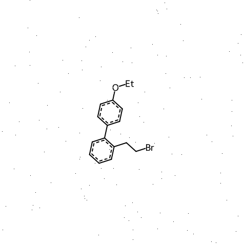 CCOc1ccc(-c2ccccc2CCBr)cc1